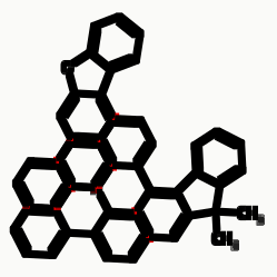 CC1(C)c2ccccc2-c2c(-c3ccccc3N(c3ccccc3-c3ccc4c(c3)oc3ccccc34)c3ccccc3-c3ccccc3-c3ccccc3)cccc21